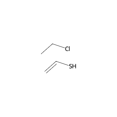 C=CS.CCCl